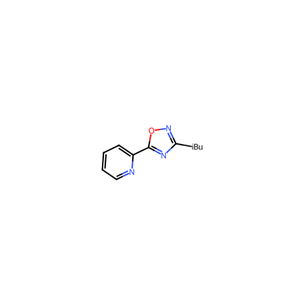 CCC(C)c1noc(-c2ccccn2)n1